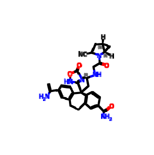 C=C(N)c1ccc2c(c1)CCc1cc(C(N)=O)ccc1C2(C[C@@H](C)NCC(=O)N1C(C#N)C[C@@H]2C[C@@H]21)c1nc(=O)o[nH]1